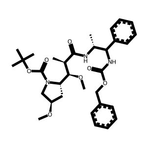 CO[C@@H]1C[C@@H]([C@H](OC)[C@@H](C)C(=O)N[C@H](C)C(NC(=O)OCc2ccccc2)c2ccccc2)N(C(=O)OC(C)(C)C)C1